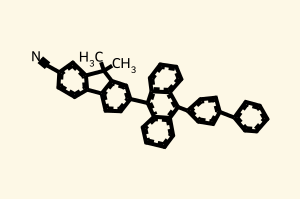 CC1(C)c2cc(C#N)ccc2-c2ccc(-c3c4ccccc4c(-c4ccc(-c5ccccc5)cc4)c4ccccc34)cc21